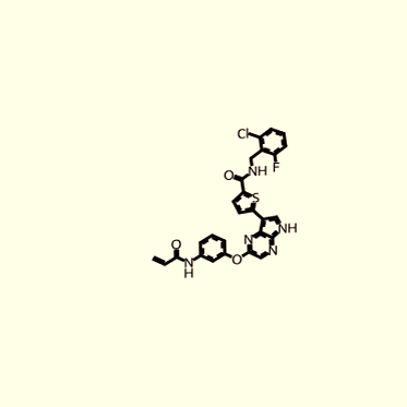 C=CC(=O)Nc1cccc(Oc2cnc3[nH]cc(-c4ccc(C(=O)NCc5c(F)cccc5Cl)s4)c3n2)c1